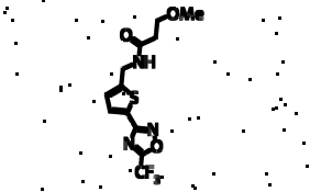 COCCC(=O)NCc1ccc(-c2noc(C(F)(F)F)n2)s1